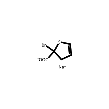 O=C([O-])C1(Br)CC=CS1.[Na+]